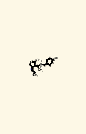 C=C/C=C1/CN=C(C)/C1=C(/C)NCc1ccc(O)cc1